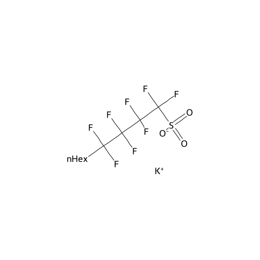 CCCCCCC(F)(F)C(F)(F)C(F)(F)C(F)(F)S(=O)(=O)[O-].[K+]